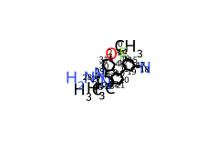 CCOC1CCC(C2(c3cc(-c4cc(F)cc(C#N)c4)ccc3C)N=C(C)C(N)=N2)CC1